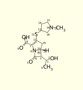 CC(O)C1C(=O)N2C(C(=O)O)=C(SC3CCN(C)C3)C[C@H]12